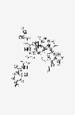 CCOC(OCC)[C@@H](NC(=O)[C@@H]1CCCN1C(=O)[C@@H](NC(=O)[C@H](CCCCNC(=O)c1ccc(Cl)cc1Cl)NC(=O)CCC(=O)OC)C(C)C)C(C)C